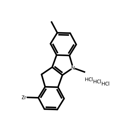 Cc1ccc2c(c1)c1c(n2C)-c2ccc[c]([Zr])c2C1.Cl.Cl.Cl